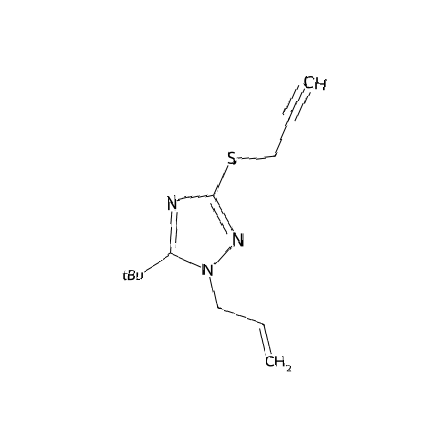 C#CCSc1nc(C(C)(C)C)n(CC=C)n1